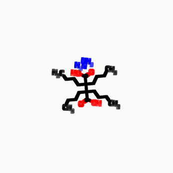 CCCCC(CCCC)(C(=O)O)C(CCCC)(CCCC)C(=O)O.N.N